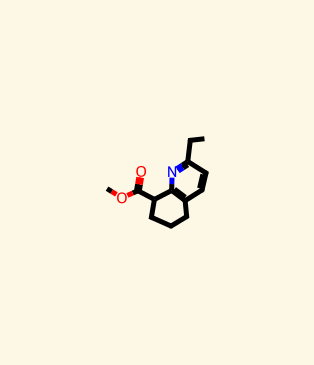 CCc1ccc2c(n1)C(C(=O)OC)CCC2